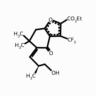 CCOC(=O)c1oc2c(c1C(F)(F)F)C(=O)C(=C[C@H](C)CO)C(C)(C)C2